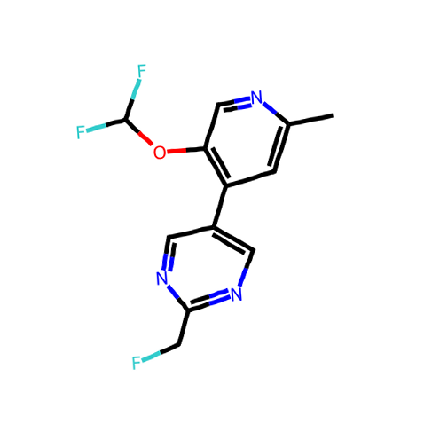 Cc1cc(-c2cnc(CF)nc2)c(OC(F)F)cn1